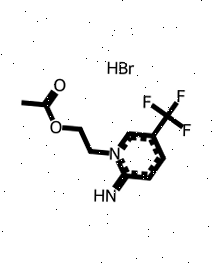 Br.CC(=O)OCCn1cc(C(F)(F)F)ccc1=N